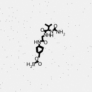 BC(=O)OCc1ccc(NC(=O)CNC(=O)C(NC(N)=O)C(C)C)cc1